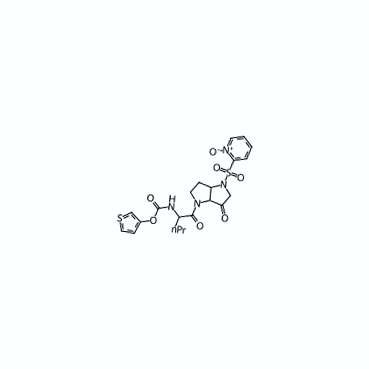 CCCC(NC(=O)Oc1ccsc1)C(=O)N1CCC2C1C(=O)CN2S(=O)(=O)c1cccc[n+]1[O-]